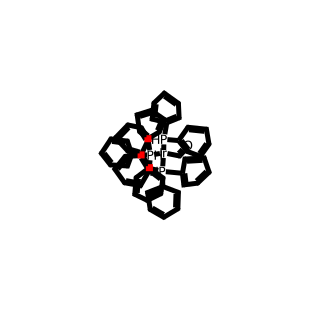 O=[CH][Ir]([PH](c1ccccc1)(c1ccccc1)c1ccccc1)([PH](c1ccccc1)(c1ccccc1)c1ccccc1)[PH](c1ccccc1)(c1ccccc1)c1ccccc1